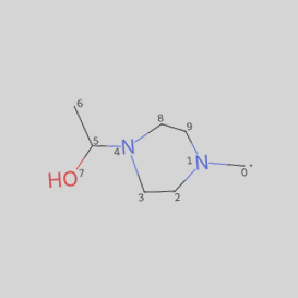 [CH2]N1CCN(C(C)O)CC1